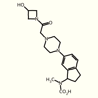 CN(C(=O)O)C1CCc2ccc(N3CCN(CC(=O)N4CC(O)C4)CC3)cc21